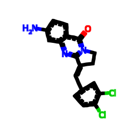 Nc1ccc2c(=O)n3c(nc2c1)/C(=C/c1ccc(Cl)c(Cl)c1)CC3